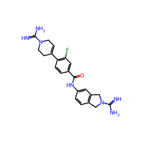 N=C(N)N1CC=C(c2ccc(C(=O)Nc3ccc4c(c3)CN(C(=N)N)C4)cc2F)CC1